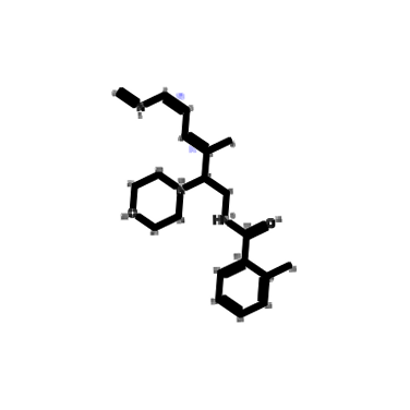 C=N/C=C\C=C(/C)C(CNC(=O)c1ccccc1C)N1CCOCC1